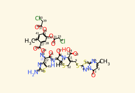 Cc1cc(=O)n2nc(SCC3=C(C(=O)O)N4C(=O)[C@@H](NC(=O)/C(=N\OC(=O)c5cc(OC(=O)CCl)c(OC(=O)CCl)cc5C)c5csc(N)n5)[C@H]4SC3)sc2n1